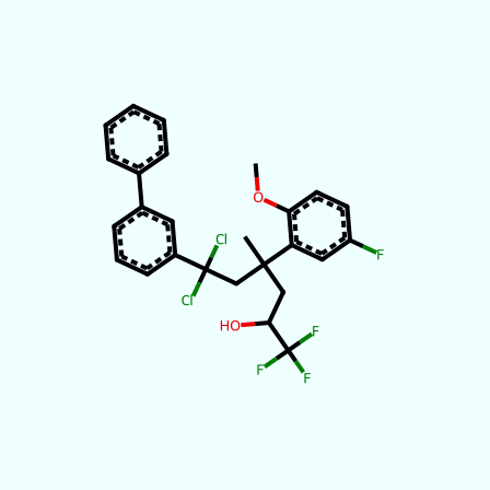 COc1ccc(F)cc1C(C)(CC(O)C(F)(F)F)CC(Cl)(Cl)c1cccc(-c2ccccc2)c1